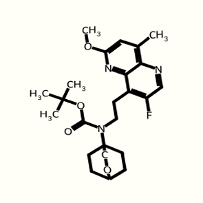 COc1cc(C)c2ncc(F)c(CCN(C(=O)OC(C)(C)C)C34CCC(CC3)OC4)c2n1